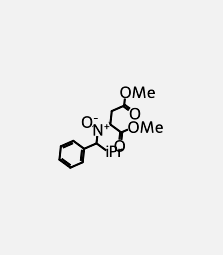 COC(=O)CC(C(=O)OC)=[N+]([O-])C(c1ccccc1)C(C)C